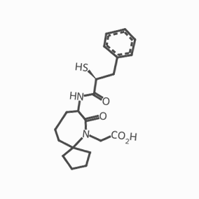 O=C(O)CN1C(=O)C(NC(=O)[C@@H](S)Cc2ccccc2)CCCC12CCCC2